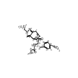 CCOC(=O)Cn1cc2c(n1)CC1CCC2N1C(=O)[C@H](Cc1ccc([N+](=O)[O-])cc1)NC(=O)OC(C)(C)C